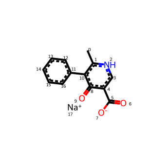 Cc1[nH]cc(C(=O)[O-])c(=O)c1-c1ccccc1.[Na+]